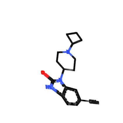 COc1ccc2[nH]c(=O)n(C3CCN(C4CCC4)CC3)c2c1